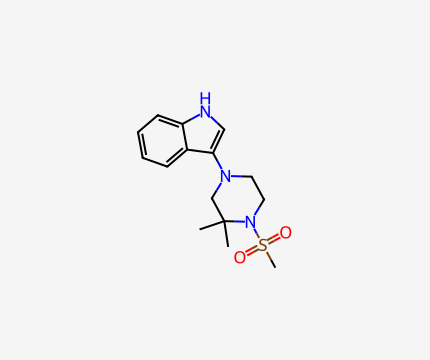 CC1(C)CN(c2c[nH]c3ccccc23)CCN1S(C)(=O)=O